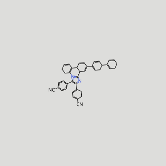 N#CC1=CC=C(c2nc3n(c2-c2ccc(C#N)cc2)C2=C(C=CCC2)C2C=CC(C4=CCC(C5=CCCC=C5)C=C4)=CC32)CC1